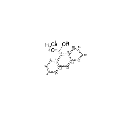 O=CO.[CaH2].c1ccc2cc3ccccc3cc2c1